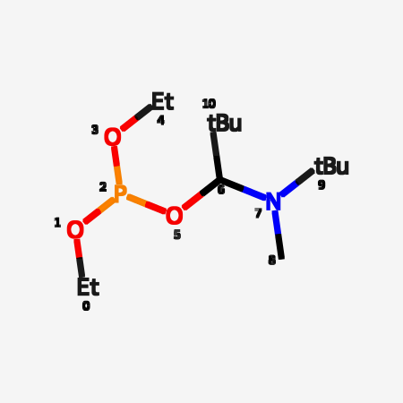 CCOP(OCC)OC(N(C)C(C)(C)C)C(C)(C)C